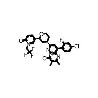 Cc1nc2c(-c3ccc(Cl)cc3F)cc([C@@H]3CCO[C@H](c4ccc(=O)n(CC(F)(F)F)c4)C3)nn2c(=O)c1C